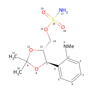 CNc1ccccc1[C@H]1OC(C)(C)O[C@@H]1COS(N)(=O)=O